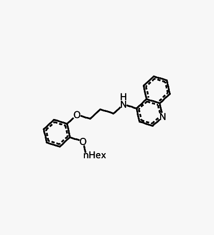 CCCCCCOc1ccccc1OCCCNc1ccnc2ccccc12